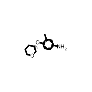 Cc1cc(N)ccc1O[C@H]1CCCOC1